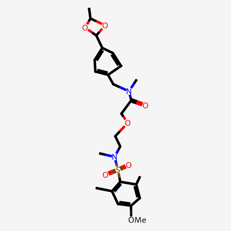 COc1cc(C)c(S(=O)(=O)N(C)CCOCC(=O)N(C)Cc2ccc(C3OC(C)O3)cc2)c(C)c1